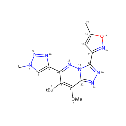 COc1c(C(C)(C)C)c(-c2cn(C)nn2)nn2c(-c3cc(C)on3)nnc12